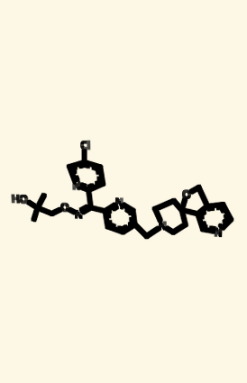 CC(C)(O)CO/N=C(\c1ccc(Cl)cn1)c1ccc(CN2CCC3(CC2)OCc2ccncc23)cn1